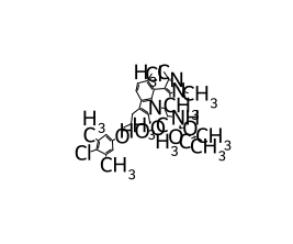 Cc1cc(OCCCc2c(C(=O)O)n(CC(C)NC(=O)OC(C)(C)C)c3c(-c4c(C)nn(C)c4C)c(Cl)ccc23)cc(C)c1Cl